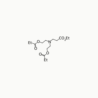 CCOC(=O)CCN(CCOC(=O)CC)CCOC(=O)CC